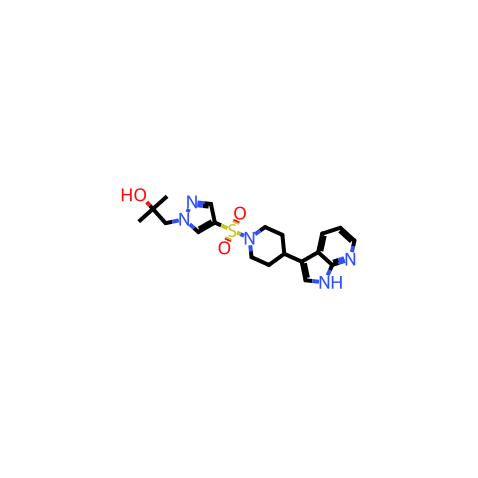 CC(C)(O)Cn1cc(S(=O)(=O)N2CCC(c3c[nH]c4ncccc34)CC2)cn1